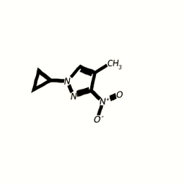 Cc1cn(C2CC2)nc1[N+](=O)[O-]